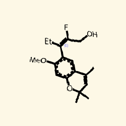 CC/C(=C(\F)CO)c1cc2c(cc1OC)OC(C)(C)C=C2C